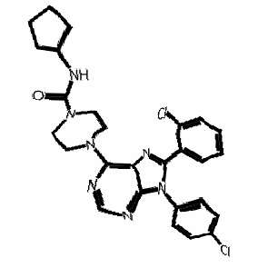 O=C(NC1CCCC1)N1CCN(c2ncnc3c2nc(-c2ccccc2Cl)n3-c2ccc(Cl)cc2)CC1